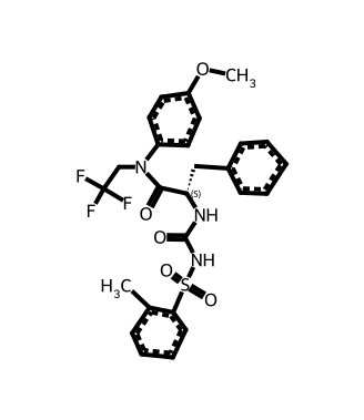 COc1ccc(N(CC(F)(F)F)C(=O)[C@H](Cc2ccccc2)NC(=O)NS(=O)(=O)c2ccccc2C)cc1